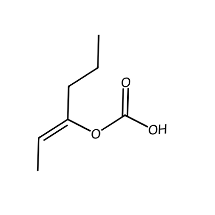 CC=C(CCC)OC(=O)O